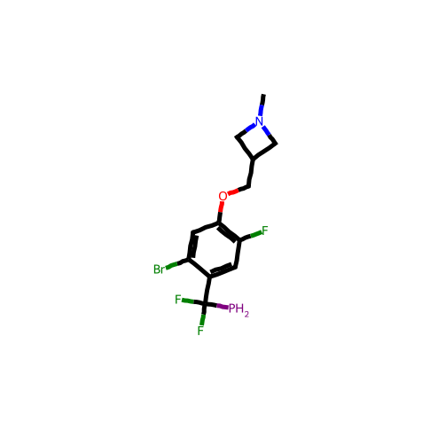 CN1CC(COc2cc(Br)c(C(F)(F)P)cc2F)C1